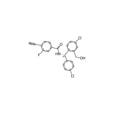 N#Cc1ccc(C(=O)N[C@@H](c2ccc(Cl)cc2)c2ccc(Cl)cc2CO)cc1F